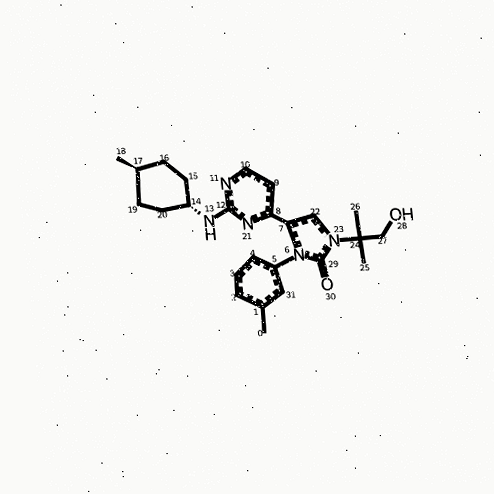 Cc1cccc(-n2c(-c3ccnc(N[C@H]4CC[C@H](C)CC4)n3)cn(C(C)(C)CO)c2=O)c1